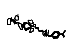 CC(C)c1ccc(C=NOCCCCOc2c(Cl)cc(OCC=C(Cl)Cl)cc2Cl)cc1